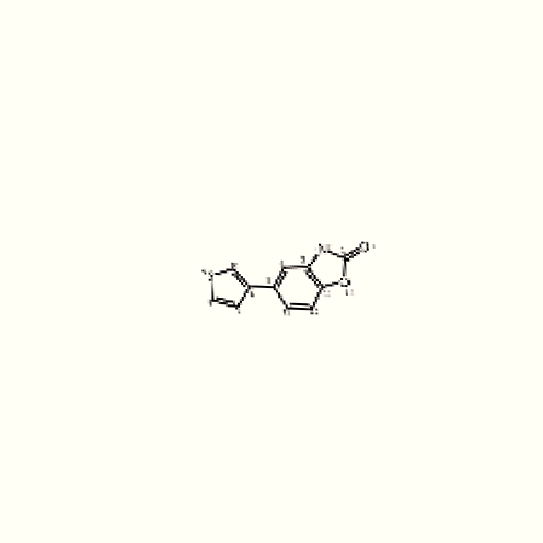 O=C1[N]c2cc(-c3ccsc3)ccc2O1